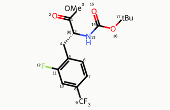 COC(=O)[C@@H](Cc1ccc(C(F)(F)F)cc1F)NC(=O)OC(C)(C)C